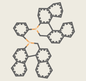 c1ccc(P2Cc3ccc4ccccc4c3-c3c2ccc2ccccc32)c(P2Cc3ccc4ccccc4c3-c3c2ccc2ccccc32)c1